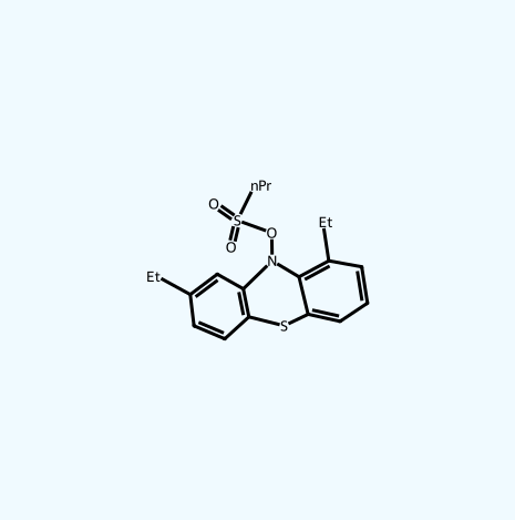 CCCS(=O)(=O)ON1c2cc(CC)ccc2Sc2cccc(CC)c21